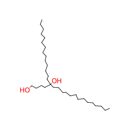 CCCCCCCCCCCCCCC(O)(CCCCO)CCCCCCCCCCCCCC